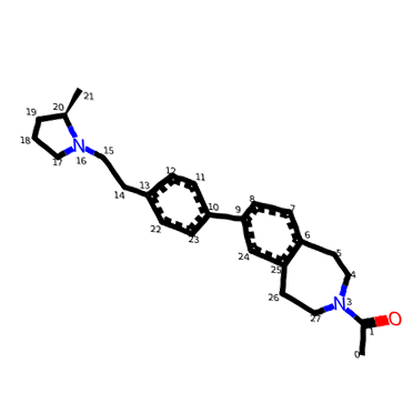 CC(=O)N1CCc2ccc(-c3ccc(CCN4CCC[C@H]4C)cc3)cc2CC1